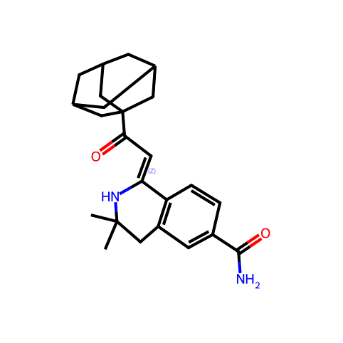 CC1(C)Cc2cc(C(N)=O)ccc2/C(=C/C(=O)C23CC4CC(CC(C4)C2)C3)N1